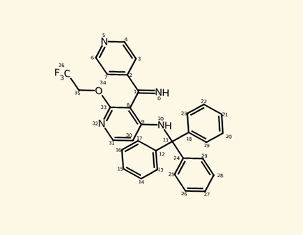 N=C(c1ccncc1)c1c(NC(c2ccccc2)(c2ccccc2)c2ccccc2)ccnc1OCC(F)(F)F